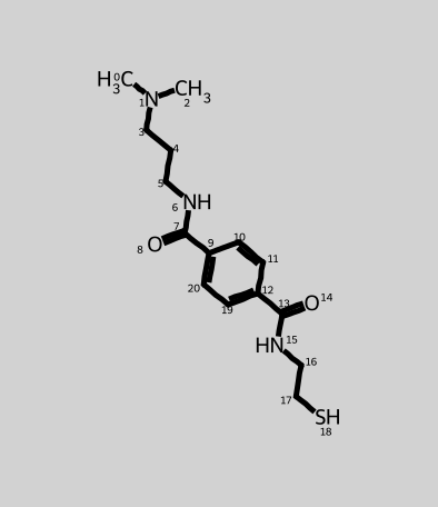 CN(C)CCCNC(=O)c1ccc(C(=O)NCCS)cc1